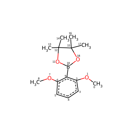 COc1cccc(OC)c1B1OC(C)(C)C(C)(C)O1